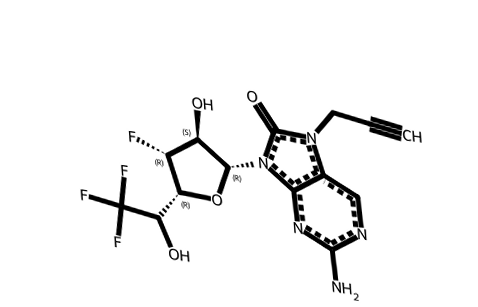 C#CCn1c(=O)n([C@@H]2O[C@H](C(O)C(F)(F)F)[C@H](F)[C@H]2O)c2nc(N)ncc21